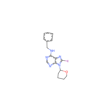 Ic1nc2c(NCc3ccccc3)ncnc2n1C1CCCCO1